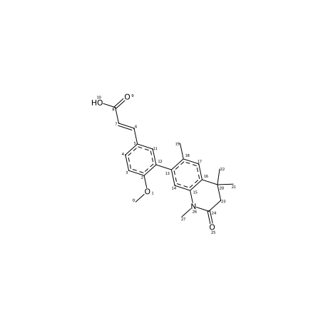 COc1ccc(/C=C/C(=O)O)cc1-c1cc2c(cc1C)C(C)(C)CC(=O)N2C